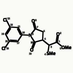 COC(=O)C(SC)C1CC(=O)N(c2cc(Cl)cc(Cl)c2)C1=O